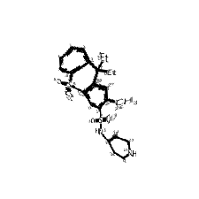 CCC1(CC)c2ccccc2S(=O)(=O)c2cc(S(=O)(=O)NC3CCNCC3)c(C)cc21